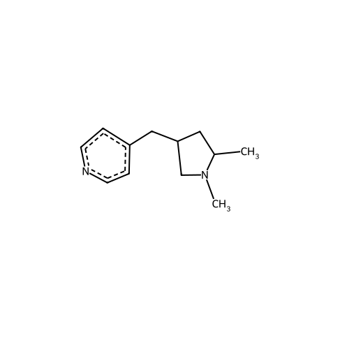 CC1CC(Cc2ccncc2)CN1C